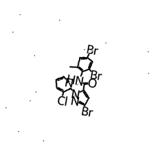 Cc1cc(Br)cc(Br)c1NC(=O)c1cc(Br)nn1-c1ncccc1Cl